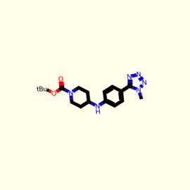 Cn1nnnc1-c1ccc(NC2CCN(C(=O)OC(C)(C)C)CC2)cc1